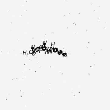 CC(C#N)C(=O)N1CC[C@H](Oc2ccc(-c3ncnc(Nc4ccc(N5CCN(C6COC6)CC5)cc4)n3)cc2C#N)C(F)C1